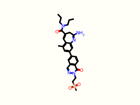 CCCN(CCC)C(=O)C1=Cc2c(C)cc(-c3ccc4c(=O)n(CCS(C)(=O)=O)ncc4c3)cc2N=C(N)C1